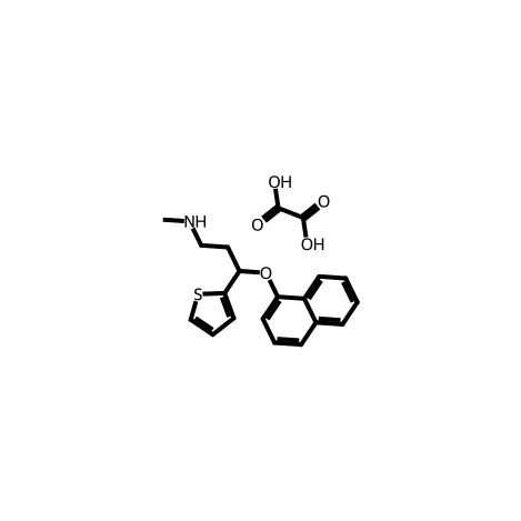 CNCCC(Oc1cccc2ccccc12)c1cccs1.O=C(O)C(=O)O